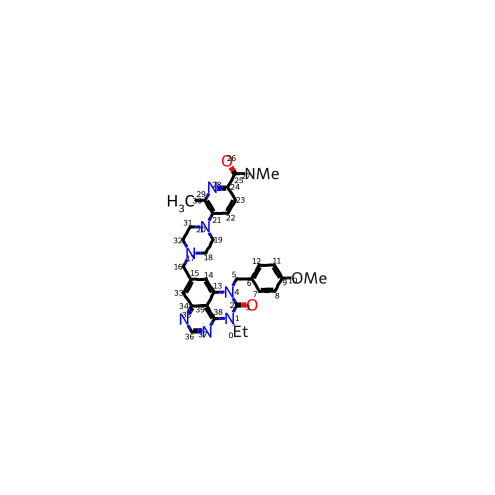 CCN1C(=O)N(Cc2ccc(OC)cc2)c2cc(CN3CCN(c4ccc(C(=O)NC)nc4C)CC3)cc3ncnc1c23